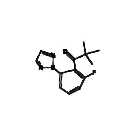 CC(C)(C)C(=O)c1c(F)cccc1-n1nccn1